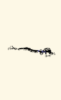 CCCCCCCCCCCCCCCC(=O)CC(=O)CC(=O)CC(=O)CC(=O)CC(=O)CC(=O)CC(=O)CC(=O)CC/C=C/CCOC(=O)/C=C/C(=O)NC1=C(O)CCC1=O